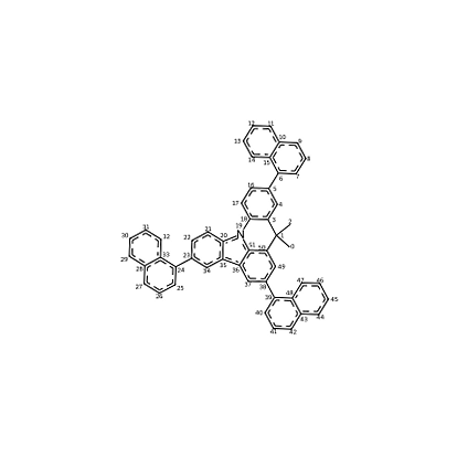 CC1(C)c2cc(-c3cccc4ccccc34)ccc2-n2c3ccc(-c4cccc5ccccc45)cc3c3cc(-c4cccc5ccccc45)cc1c32